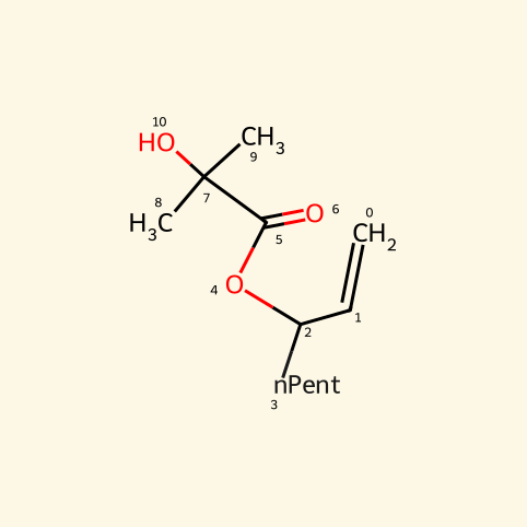 C=CC(CCCCC)OC(=O)C(C)(C)O